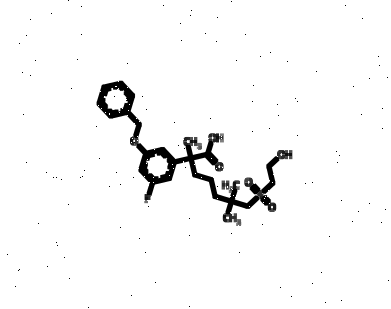 CC(C)(CCCC(C)(C(=O)O)c1cc(F)cc(OCc2ccccc2)c1)CS(=O)(=O)CCO